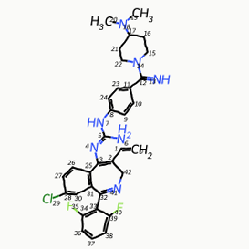 C=CC1=C(/N=C(\N)Nc2ccc(C(=N)N3CCC(N(C)C)CC3)cc2)c2ccc(Cl)cc2C(c2c(F)cccc2F)=NC1